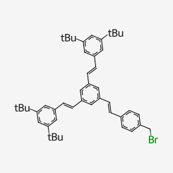 CC(C)(C)c1cc(C=Cc2cc(C=Cc3ccc(CBr)cc3)cc(C=Cc3cc(C(C)(C)C)cc(C(C)(C)C)c3)c2)cc(C(C)(C)C)c1